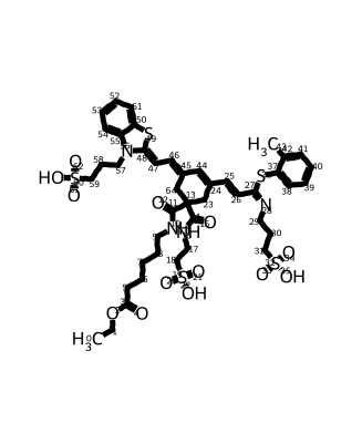 CCOC(=O)CCCCCNC(=O)C1(C(=O)NCCS(=O)(=O)O)CC(/C=C/C(=N\CCCS(=O)(=O)O)Sc2ccccc2C)=CC(=C/C=C2\Sc3ccccc3N2CCCS(=O)(=O)O)/C1